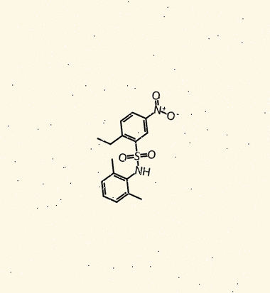 CCc1ccc([N+](=O)[O-])cc1S(=O)(=O)Nc1c(C)cccc1C